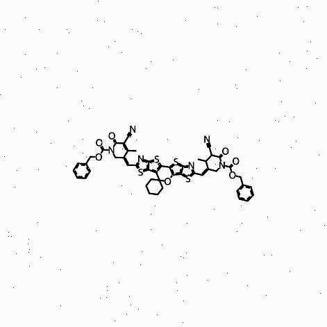 CC1=C(C#N)C(=O)N(C(=O)OCc2ccccc2)C/C1=C/c1nc2sc3c(c2s1)C1(CCCCC1)Oc1c-3sc2nc(/C=C3/CN(C(=O)OCc4ccccc4)C(=O)C(C#N)C3C)sc12